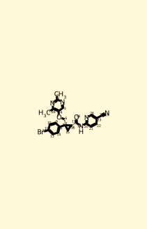 Cc1ncc(OC[C@@]2(c3ccc(Br)cc3)C[C@H]2C(=O)Nc2ccc(C#N)cn2)c(C)n1